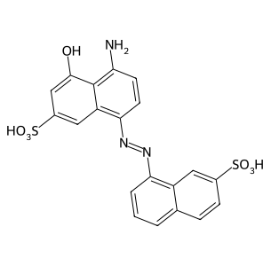 Nc1ccc(N=Nc2cccc3ccc(S(=O)(=O)O)cc23)c2cc(S(=O)(=O)O)cc(O)c12